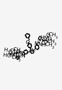 COC(=O)N[C@H](C(=O)N1CCC[C@H]1c1nc2cc([C@H]3CC[C@H](c4ccc5[nH]c([C@@H]6CCCN6C(=O)[C@H](C(C)C)N(C)C(=O)O)nc5c4)N3c3ccc(OCc4ccccc4)cc3)ccc2[nH]1)C(C)C